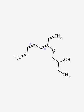 C=C/C=C\C=C(/C=C)OCC(O)CC